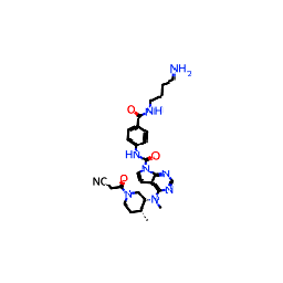 C[C@@H]1CCN(C(=O)CC#N)C[C@@H]1N(C)c1ncnc2c1ccn2C(=O)Nc1ccc(C(=O)NCCCCN)cc1